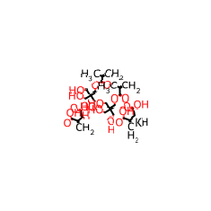 C=C(C)C(=O)OCC(CO)(CO)CO.C=C(C)C(=O)OCC(CO)(CO)CO.C=C(CC(=O)O)C(=O)O.C=C(CC(=O)O)C(=O)O.[KH]